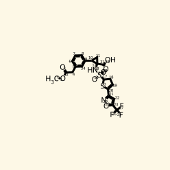 COC(=O)Cc1cccc(C2CC2(NS(=O)(=O)C2CC=C(c3cc(C(F)(F)F)on3)S2)C(=O)O)c1